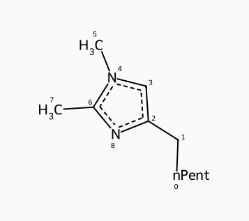 CCCCCCc1cn(C)c(C)n1